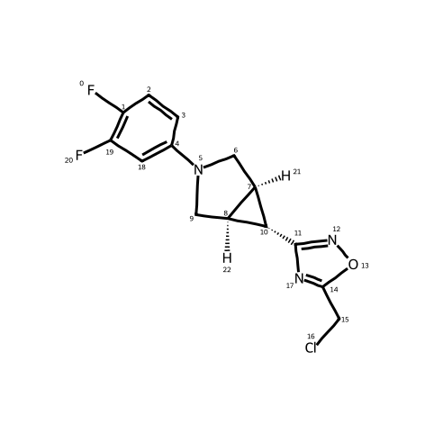 Fc1ccc(N2C[C@@H]3[C@H](C2)[C@H]3c2noc(CCl)n2)cc1F